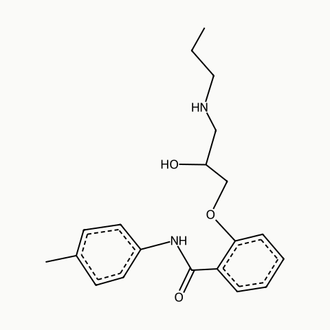 CCCNCC(O)COc1ccccc1C(=O)Nc1ccc(C)cc1